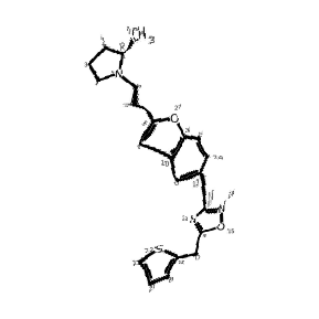 C[C@@H]1CCCN1CCc1cc2cc(-c3noc(Cc4cccs4)n3)ccc2o1